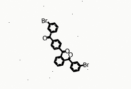 O=C(c1ccc(C(=O)c2ccccc2C(=O)c2cccc(Br)c2)cc1)c1cccc(Br)c1